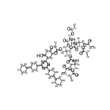 C=CC(=O)OCNC(=O)OCC(COC(=O)NC(C)(COC(=O)C=C)COC(=O)C=C)(COC(=O)NC(C)(COC(=O)C=C)COC(=O)C=C)COC(=O)C(C)Oc1ccc(-c2nc(-c3ccc(-c4ccccc4)cc3)nc(-c3ccc(-c4ccccc4)cc3)n2)c(O)c1